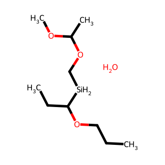 CCCOC(CC)[SiH2]COC(C)OC.O